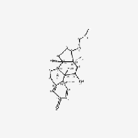 CSCOC1CC[C@H]2[C@@H]3CCC4=CC(=O)C=C[C@]4(C)C3(F)C(O)C[C@]12C